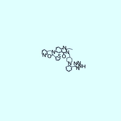 CCc1nc2ccc(N(Cc3cccnc3)C(=O)c3cccs3)cc2c(=O)n1CC1CCN(c2ccccc2-c2nn[nH]n2)CC1